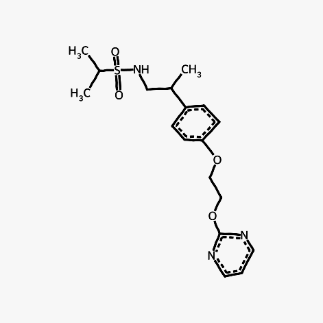 CC(CNS(=O)(=O)C(C)C)c1ccc(OCCOc2ncccn2)cc1